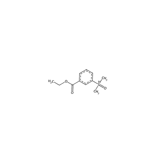 CCOC(=O)c1cccc([SH](C)(C)=O)c1